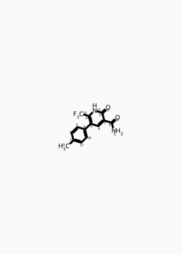 Cc1ccc(-c2cc(C(N)=O)c(=O)[nH]c2C(F)(F)F)cc1